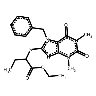 CCOC(=O)C(CC)Sc1nc2c(c(=O)n(C)c(=O)n2C)n1Cc1ccccc1